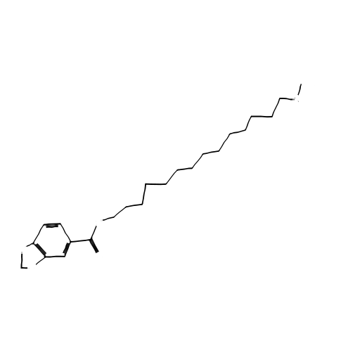 O=C(O)NCCCCCCCCCCCCCCOC(=O)c1ccc2c(c1)OCO2